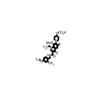 COc1c(N2CCC(OC(=O)O)CC2)c(F)cc2c(=O)c(C(=O)NCc3ccc(OC(F)(F)F)cc3C)cn(CC(F)(F)F)c12